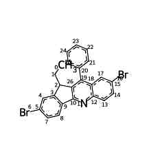 CCC1c2cc(Br)ccc2-c2nc3ccc(Br)cc3c(-c3ccccc3)c21